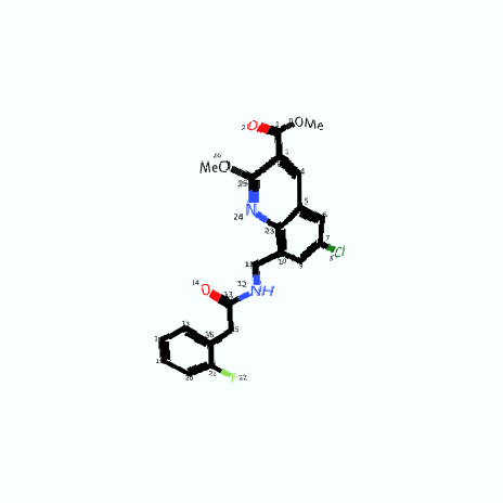 COC(=O)c1cc2cc(Cl)cc(CNC(=O)Cc3ccccc3F)c2nc1OC